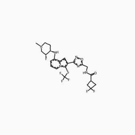 CN1CC[C@@H](Nc2cccn3c(SC(F)(F)F)c(-c4noc(CNC(=O)C5CC(F)(F)C5)n4)cc23)[C@@H](F)C1